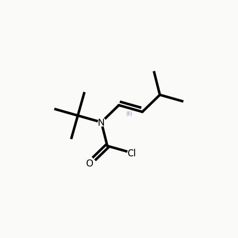 CC(C)/C=C/N(C(=O)Cl)C(C)(C)C